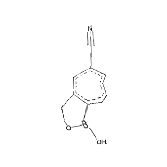 N#Cc1ccc2c(c1)COB2O